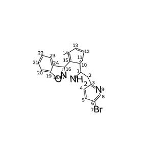 NC(Cc1ccc(Br)cn1)c1ccccc1-c1noc2ccccc12